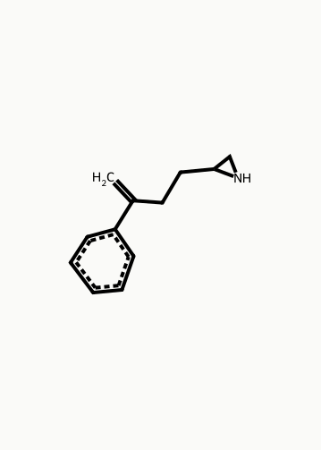 C=C(CCC1CN1)c1ccccc1